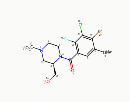 COc1cc(C(=O)N2CCN(C(=O)O)C[C@@H]2CO)c(F)c(Cl)c1Br